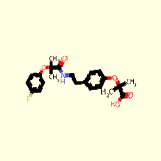 CC(C)(Oc1ccc(CCNC(=O)C(C)(C)Oc2ccc(F)cc2)cc1)C(=O)O